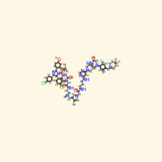 COc1ccc(C2=N[C@@H](c3ccc(Cl)cc3)[C@@H](c3ccc(Cl)cc3)N2C(=O)N2CCN(CC(=O)NCCN(C)C[C@H]3CN(CC(=O)NCCCNc4cc(N5CCC6(CC5)CN(c5cc(F)c(CN7CCC(C)(C)CC7)cc5F)CC(=O)N6)ncn4)C[C@H]3C)C(=O)C2)c(OC(C)C)c1